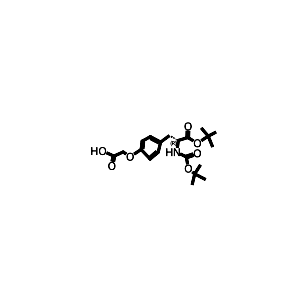 CC(C)(C)OC(=O)N[C@H](Cc1ccc(OCC(=O)O)cc1)C(=O)OC(C)(C)C